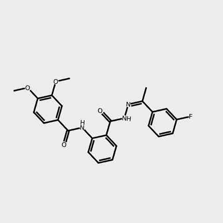 COc1ccc(C(=O)Nc2ccccc2C(=O)NN=C(C)c2cccc(F)c2)cc1OC